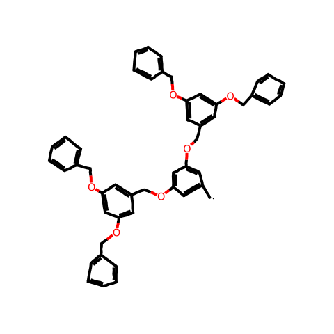 [CH2]c1cc(OCc2cc(OCc3ccccc3)cc(OCc3ccccc3)c2)cc(OCc2cc(OCc3ccccc3)cc(OCc3ccccc3)c2)c1